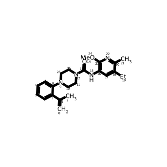 C=C(C)c1ccccc1N1CCN(C(=O)Nc2cc(CC)c(C)nc2OC)CC1